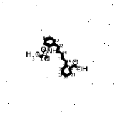 CCS(=O)(=O)Nc1ccccc1CCCCCc1ccccc1C(=O)O